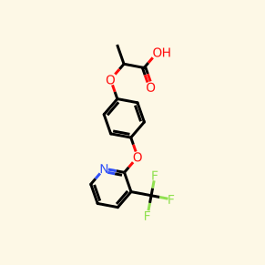 CC(Oc1ccc(Oc2ncccc2C(F)(F)F)cc1)C(=O)O